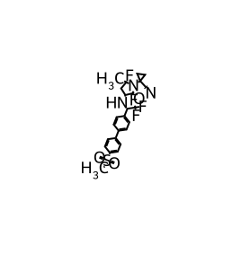 CC1(F)C[C@H](N[C@@H](c2ccc(-c3ccc(S(C)(=O)=O)cc3)cc2)C(F)(F)F)C(=O)N1C1(C#N)CC1